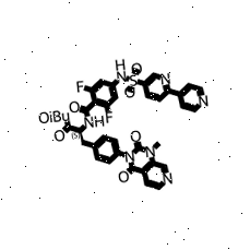 CC(C)COC(=O)[C@H](Cc1ccc(-n2c(=O)c3ccncc3n(C)c2=O)cc1)NC(=O)c1c(F)cc(NS(=O)(=O)c2ccc(-c3ccncc3)nc2)cc1F